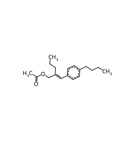 CCCCc1ccc(/C=C(\CCC)COC(C)=O)cc1